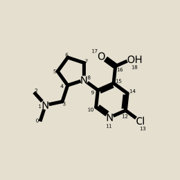 CN(C)CC1CCCN1c1cnc(Cl)cc1C(=O)O